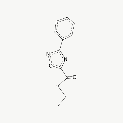 CC[CH]C(=O)c1nc(-c2ccccc2)no1